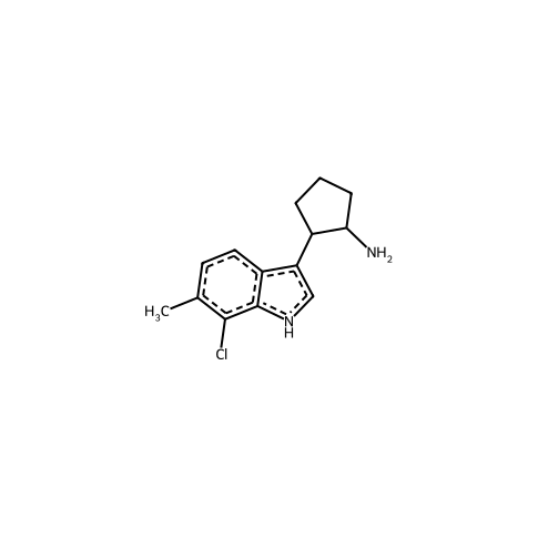 Cc1ccc2c(C3CCCC3N)c[nH]c2c1Cl